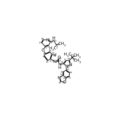 CC(C)Nc1cc(Oc2ccc(NC(=O)Nc3cc(C(C)(C)C)nn3-c3ccc4ocnc4c3)c(F)c2)ccn1